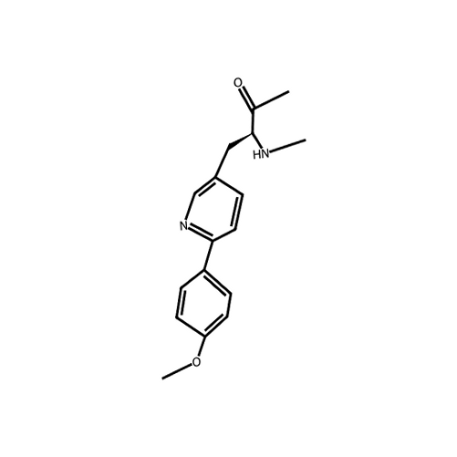 CN[C@@H](Cc1ccc(-c2ccc(OC)cc2)nc1)C(C)=O